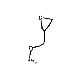 BOCC1CO1